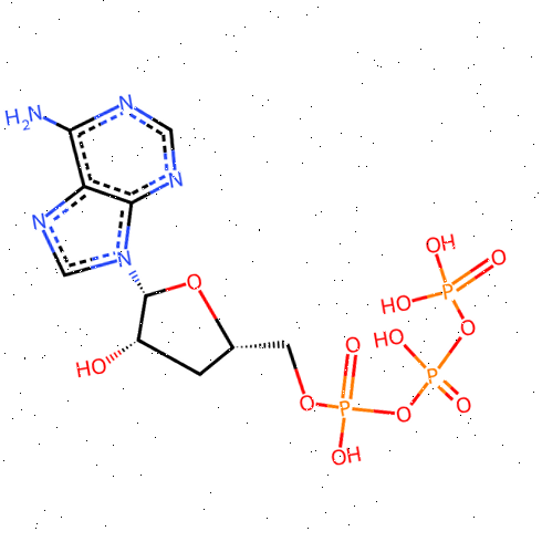 Nc1ncnc2c1ncn2[C@@H]1O[C@H](COP(=O)(O)OP(=O)(O)OP(=O)(O)O)C[C@@H]1O